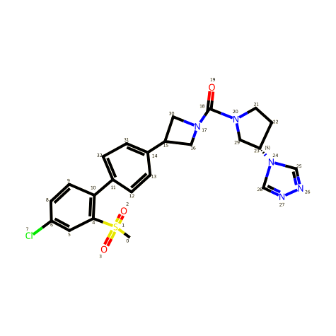 CS(=O)(=O)c1cc(Cl)ccc1-c1ccc(C2CN(C(=O)N3CC[C@H](n4cnnc4)C3)C2)cc1